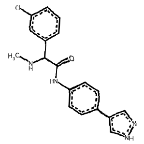 CNC(C(=O)Nc1ccc(-c2cn[nH]c2)cc1)c1cccc(Cl)c1